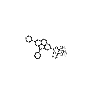 CC1(C)OB(c2cc3ccc4cc(-c5ccccc5)cc5c4c3c(c2)n5-c2ccccc2)OC1(C)C